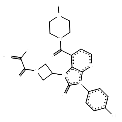 C=C(F)C(=O)N1CC(n2c(=O)n(-c3ccc(C(F)(F)F)cc3)c3nccc(C(=O)N4CCN(C)CC4)c32)C1